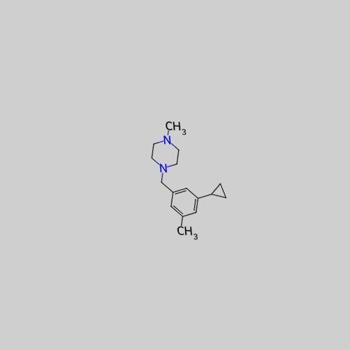 Cc1cc(CN2CCN(C)CC2)cc(C2CC2)c1